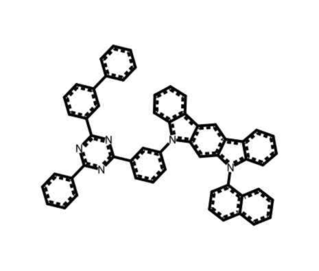 c1ccc(-c2cccc(-c3nc(-c4ccccc4)nc(-c4cccc(-n5c6ccccc6c6cc7c8ccccc8n(-c8cccc9ccccc89)c7cc65)c4)n3)c2)cc1